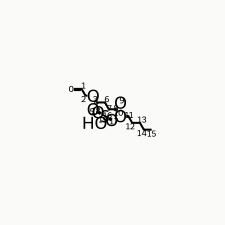 C=CCOC(=O)CC(C(=O)OCCCCC)S(=O)(=O)O